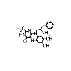 C=c1nc2c(c(=O)[nH]1)=Nc1cc(C)c(C)cc1N2CC(N)Cc1ccccc1